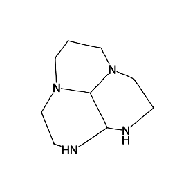 C1CN2CCNC3NCCN(C1)C32